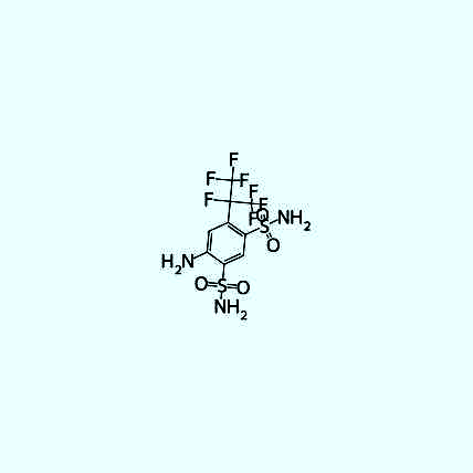 Nc1cc(C(F)(C(F)(F)F)C(F)(F)F)c(S(N)(=O)=O)cc1S(N)(=O)=O